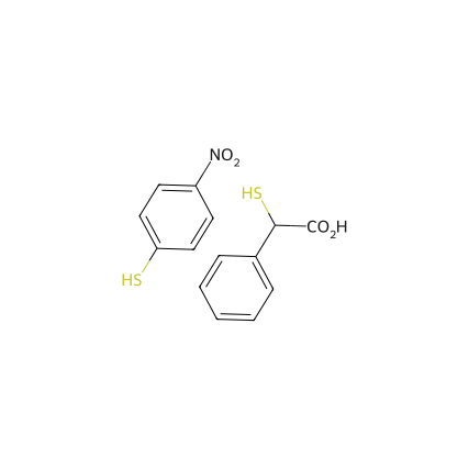 O=C(O)C(S)c1ccccc1.O=[N+]([O-])c1ccc(S)cc1